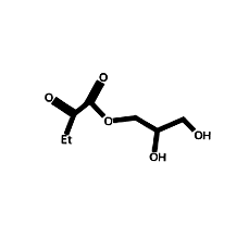 CCC(=O)C(=O)OCC(O)CO